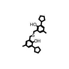 Cc1cc(CSCc2cc(C)cc(C3CCCC3)c2O)c(O)c(C2CCCC2)c1